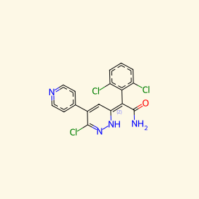 NC(=O)/C(=C1/C=C(c2ccncc2)C(Cl)=NN1)c1c(Cl)cccc1Cl